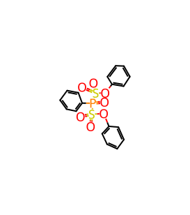 O=P(c1ccccc1)(S(=O)(=O)Oc1ccccc1)S(=O)(=O)Oc1ccccc1